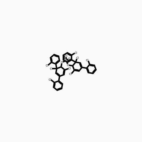 O=P(Cl)(OC1C(Cl)=CC(c2ccccc2Cl)=CC1(Cl)c1ccccc1Cl)OC1C(Cl)=CC(c2ccccc2Cl)=CC1(Cl)c1ccccc1Cl